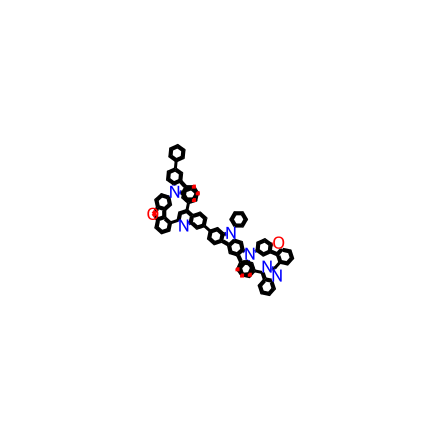 c1ccc(-c2ccc3c(c2)c2ccccc2n3-c2ccc3oc4cccc(-c5cc(-c6ccccc6)c6ccc(-c7ccc8c9cc%10c%11ccccc%11n(-c%11ccc%12oc%13cccc(-c%14nc(-c%15ccccc%15)c%15ccccc%15n%14)c%13c%12c%11)c%10cc9n(-c9ccccc9)c8c7)cc6n5)c4c3c2)cc1